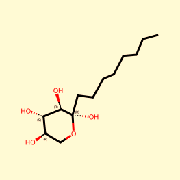 CCCCCCCC[C@@]1(O)OC[C@@H](O)[C@H](O)[C@H]1O